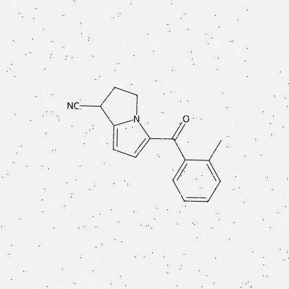 Cc1ccccc1C(=O)c1ccc2n1CCC2C#N